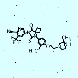 CCc1cc(N2C(=S)N(c3cnc(C#N)c(C(F)(F)F)c3)C(=O)C23CCC3)ccc1OCCN1CCN[C@H](C)C1